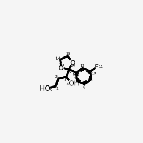 OCCC(O)C1(c2cccc(F)c2)OCCO1